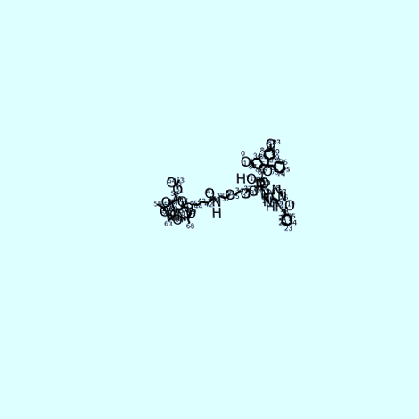 COc1ccc(C(OC[C@H]2O[C@@H](n3cnc4c(NC(=O)c5ccccc5)ncnc43)[C@H](OCOCCOCCNC(=O)CCCCO[C@@H]3O[C@H](COC(C)=O)[C@H](OC(C)=O)[C@H](OC(C)=O)[C@H]3NC(C)=O)[C@@H]2O)(c2ccccc2)c2ccc(OC)cc2)cc1